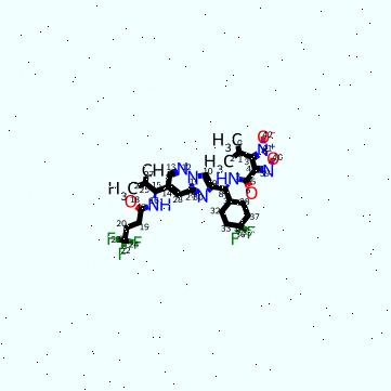 CC(C)c1c(C(=O)N[C@H](c2cn3ncc([C@@H](NC(=O)CCC(F)(F)F)C(C)C)cc3n2)C2CCC(F)(F)CC2)no[n+]1[O-]